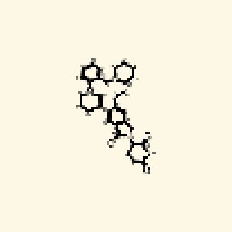 O=C1CCC(N2Cc3cc(OC[C@H]4CCCCN4Cc4ccccc4N4CCCCC4)ccc3C2=O)C(=O)N1